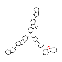 CC1(C)c2cc(-c3ccc4ccccc4c3)ccc2-c2ccc(C(c3ccc4c(c3)C(C)(C)c3cc(-c5ccc6ccccc6c5)ccc3-4)c3ccc4c(c3)C(C)(C)c3cc(-c5cccc6c5oc5ccccc56)ccc3-4)cc21